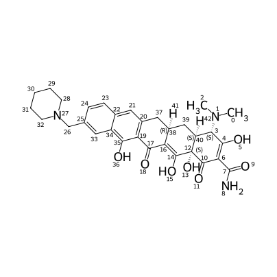 CN(C)[C@@H]1C(O)=C(C(N)=O)C(=O)[C@@]2(O)C(O)=C3C(=O)c4c(cc5ccc(CN6CCCCC6)cc5c4O)C[C@H]3C[C@@H]12